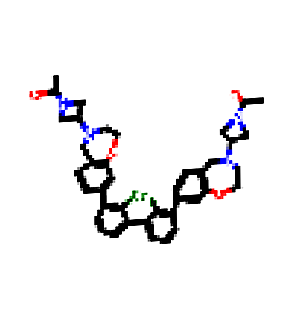 CC(=O)N1CC(N2CCOc3cc(-c4cccc(-c5cccc(-c6ccc7c(c6)OCCN(C6CN(C(C)=O)C6)C7)c5Cl)c4Cl)ccc3C2)C1